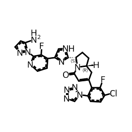 Nc1ccnn1-c1nccc(-c2c[nH]c([C@@H]3CC[C@@H]4CC(c5c(-n6cnnn6)ccc(Cl)c5F)=CC(=O)N43)n2)c1F